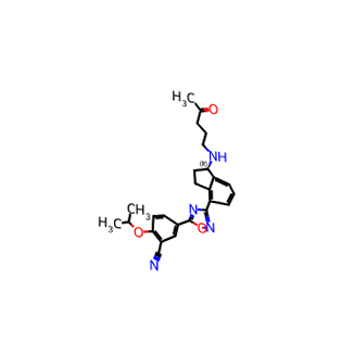 CC(=O)CCCN[C@@H]1CCc2c(-c3noc(-c4ccc(OC(C)C)c(C#N)c4)n3)cccc21